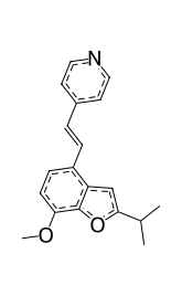 COc1ccc(C=Cc2ccncc2)c2cc(C(C)C)oc12